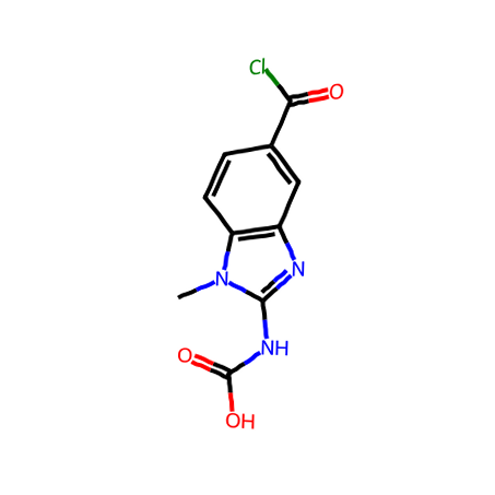 Cn1c(NC(=O)O)nc2cc(C(=O)Cl)ccc21